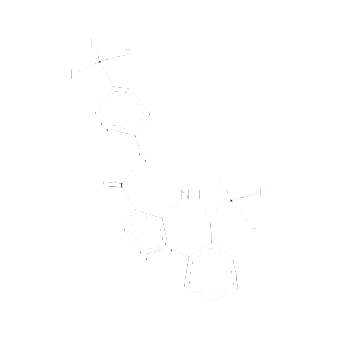 Nc1c(C(=O)Nc2ccc(C(F)(F)F)cn2)cnn1-c1ccccc1OC(F)(F)F